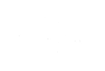 C=C(C=C=O)C(=O)OC=C=O